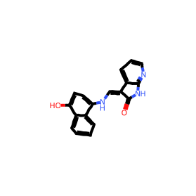 O=C1Nc2ncccc2C1=CNc1ccc(O)c2ccccc12